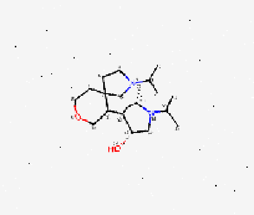 CC(C)N1CCC2(CCOCC2C2[C@@H](O)CN(C(C)C)[C@H]2C)C1